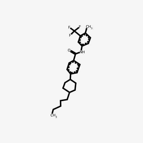 CCCCCC1CCC(c2ccc(C(=O)Nc3ccc(C)c(C(F)(F)F)c3)cc2)CC1